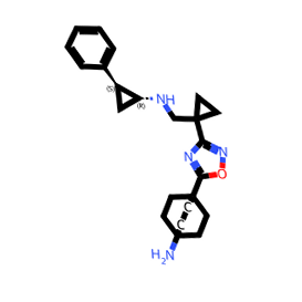 NC12CCC(c3nc(C4(CN[C@@H]5C[C@H]5c5ccccc5)CC4)no3)(CC1)CC2